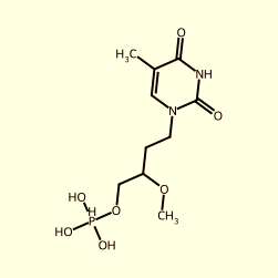 COC(CCn1cc(C)c(=O)[nH]c1=O)CO[PH](O)(O)O